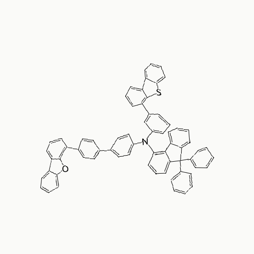 c1ccc(C2(c3ccccc3)c3ccccc3-c3c(N(c4ccc(-c5ccc(-c6cccc7c6oc6ccccc67)cc5)cc4)c4cccc(-c5cccc6c5sc5ccccc56)c4)cccc32)cc1